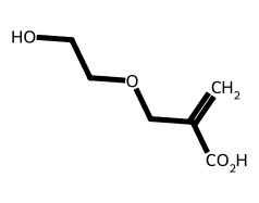 C=C(COCCO)C(=O)O